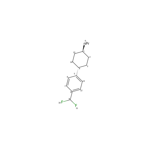 CCC[C@H]1CC[C@H](c2ccc(C(F)F)cc2)CC1